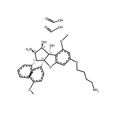 COc1ccc([C@@]23Oc4cc(OCCCCN)cc(OC)c4[C@]2(O)[C@H](O)[C@H](N)[C@H]3c2ccccc2)cc1.O=CO.O=CO